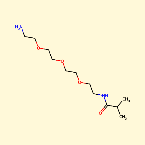 CC(C)C(=O)NCCOCCOCCOCCN